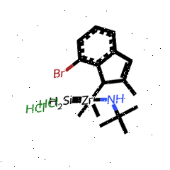 CC1=Cc2cccc(Br)c2[CH]1[Zr]([CH3])([CH3])(=[SiH2])[NH]C(C)(C)C.Cl.Cl